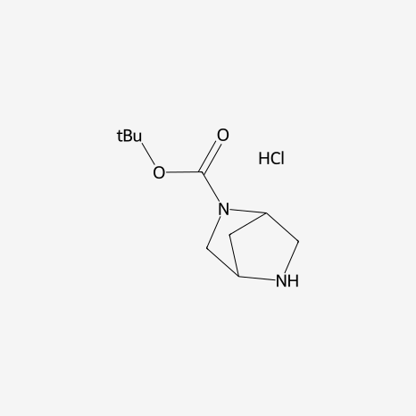 CC(C)(C)OC(=O)N1CC2CC1CN2.Cl